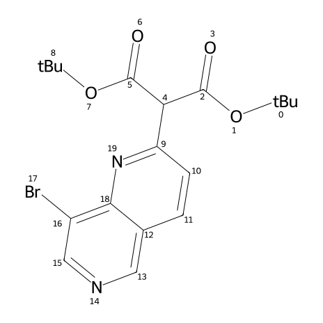 CC(C)(C)OC(=O)C(C(=O)OC(C)(C)C)c1ccc2cncc(Br)c2n1